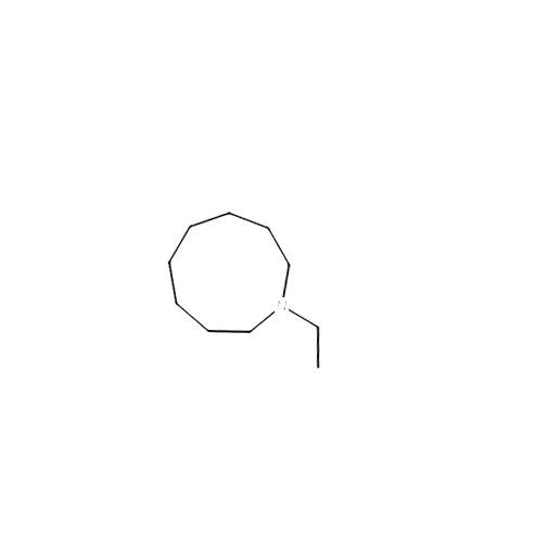 [CH2]CN1CCCCCCCC1